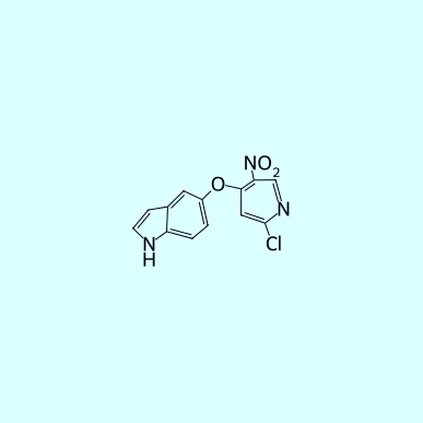 O=[N+]([O-])c1cnc(Cl)cc1Oc1ccc2[nH]ccc2c1